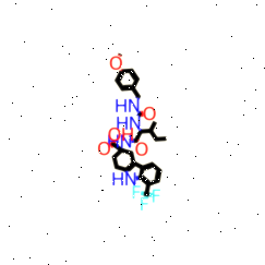 CCC(C)C(NC(=O)NCc1ccc(OC)cc1)C(=O)NC1(C(=O)O)CCc2[nH]c3c(C(F)(F)F)cccc3c2C1